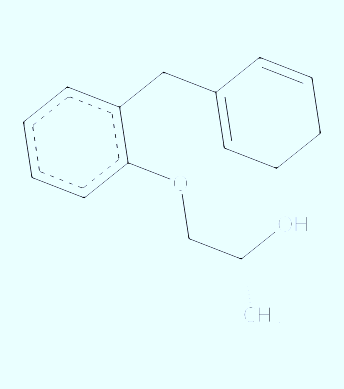 C[C@@H](O)COc1ccccc1CC1=CCCC=C1